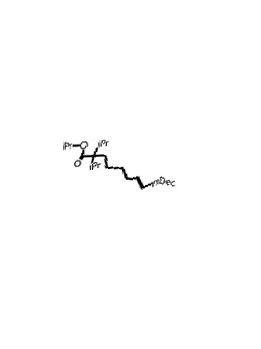 CCCCCCCCCCCCCCCCC(C(=O)OC(C)C)(C(C)C)C(C)C